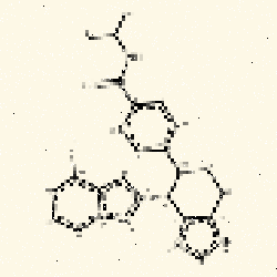 CC(C)NC(=O)c1cnc(N2CCc3[nH]cnc3[C@@H]2c2cc3c(F)cccn3n2)cn1